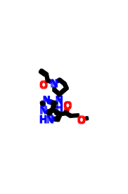 C=CC(=O)N1CCC[C@@H](Nc2ncnc3[nH]cc(C(=O)CCOC)c23)C1